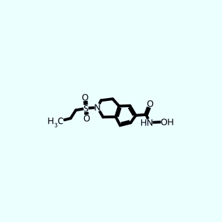 CCCS(=O)(=O)N1CCc2cc(C(=O)NO)ccc2C1